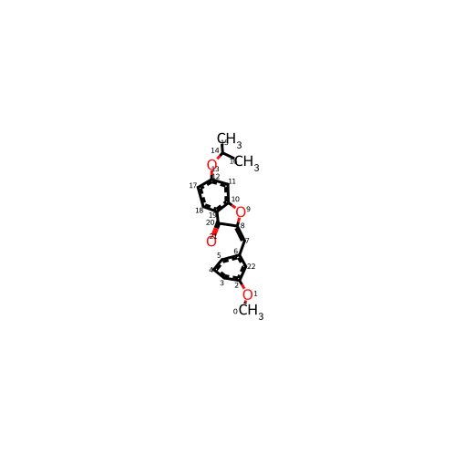 COc1cccc(C=C2Oc3cc(OC(C)C)ccc3C2=O)c1